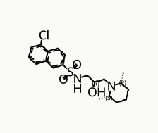 C[C@@H]1CCC[C@H](C)N1C[C@@H](O)CNS(=O)(=O)c1ccc2c(Cl)cccc2c1